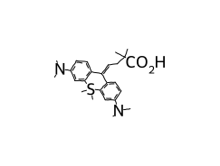 CN(C)c1ccc2c(c1)S(C)(C)c1cc(N(C)C)ccc1C2=CCC(C)(C)C(=O)O